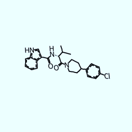 CC(C)[C@@H](NC(=O)c1c[nH]c2ccccc12)C(=O)N1CCC(c2ccc(Cl)cc2)CC1